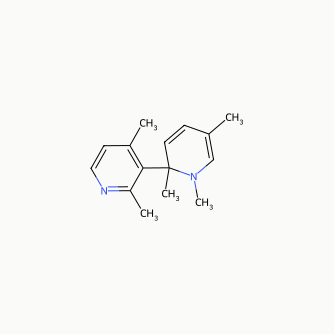 CC1=CN(C)C(C)(c2c(C)ccnc2C)C=C1